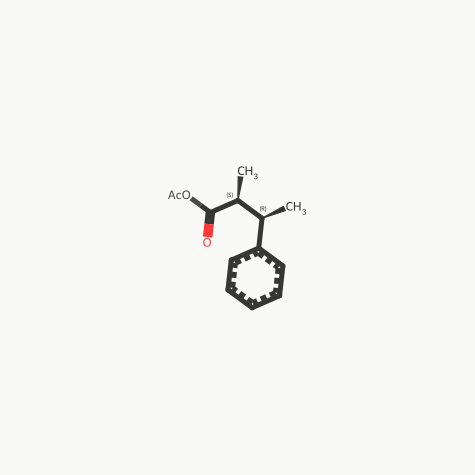 CC(=O)OC(=O)[C@@H](C)[C@@H](C)c1ccccc1